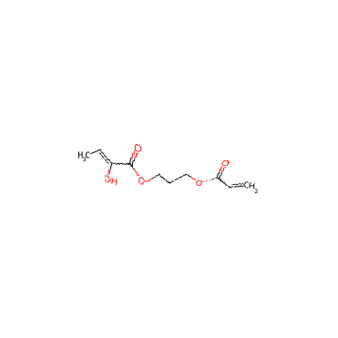 C=CC(=O)OCCCOC(=O)C(O)=CC